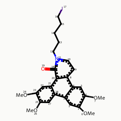 COc1cc2c(cc1OC)c1ccn(CCCCCI)c(=O)c1c1cc(OC)c(OC)cc21